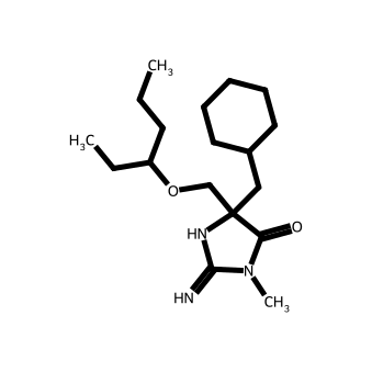 CCCC(CC)OCC1(CC2CCCCC2)NC(=N)N(C)C1=O